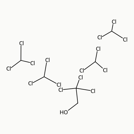 ClC(Cl)Cl.ClC(Cl)Cl.ClC(Cl)Cl.ClC(Cl)Cl.OCC(Cl)(Cl)Cl